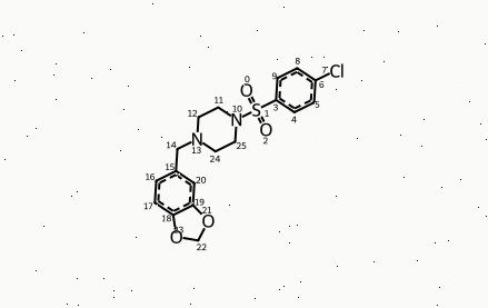 O=S(=O)(c1ccc(Cl)cc1)N1CCN(Cc2ccc3c(c2)OCO3)CC1